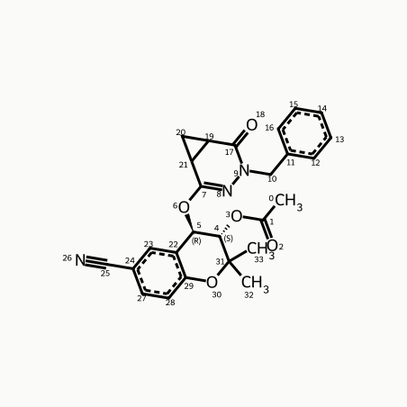 CC(=O)O[C@H]1[C@H](OC2=NN(Cc3ccccc3)C(=O)C3CC23)c2cc(C#N)ccc2OC1(C)C